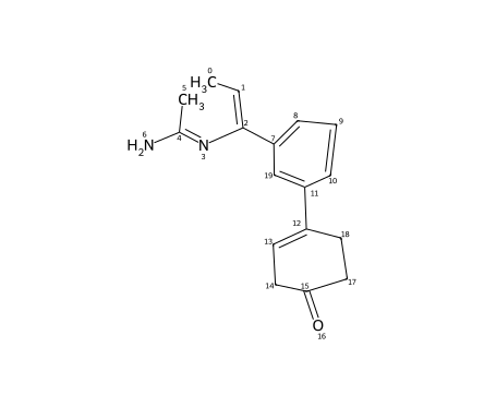 C/C=C(\N=C(/C)N)c1cccc(C2=CCC(=O)CC2)c1